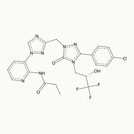 CCC(=O)Nc1ncccc1-n1cnc(Cn2nc(-c3ccc(Cl)cc3)n(C[C@H](O)C(F)(F)F)c2=O)n1